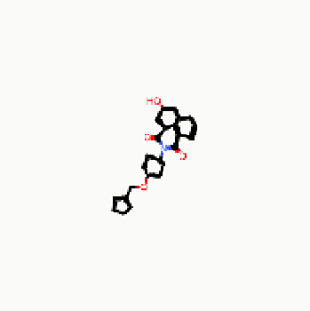 O=C1c2cccc3cc(O)cc(c23)C(=O)N1c1ccc(OCC2=CCC=C2)cc1